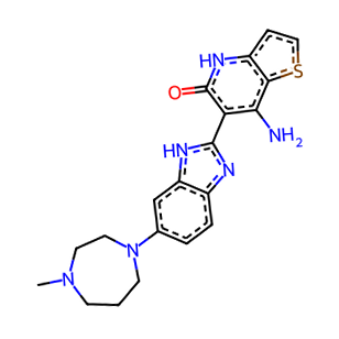 CN1CCCN(c2ccc3nc(-c4c(N)c5sccc5[nH]c4=O)[nH]c3c2)CC1